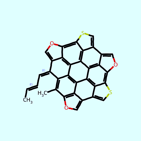 C/C=C/C=c1/c2coc3c4scc5c6coc7c8scc9c%10coc%11c(C)c1c1c(c%11%10)c(c98)c(c67)c(c54)c1c23